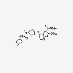 CNC(=O)c1cc2c(Oc3ccc(N(C)C(=O)Nc4ccc(F)cc4)cc3)ccnc2cc1OC